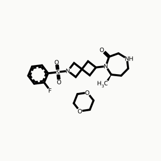 C1COCCO1.C[C@@H]1CCNCC(=O)N1C1CC2(C1)CN(S(=O)(=O)c1ccccc1F)C2